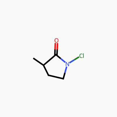 CC1CCN(Cl)C1=O